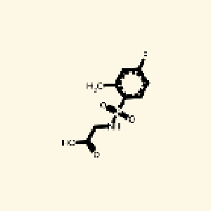 Cc1cc(F)ccc1S(=O)(=O)NCC(=O)O